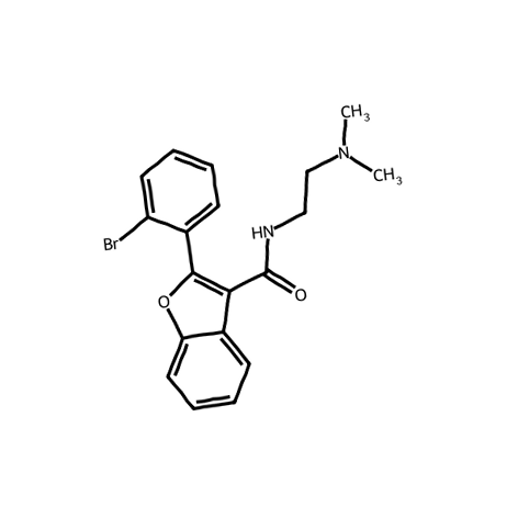 CN(C)CCNC(=O)c1c(-c2ccccc2Br)oc2ccccc12